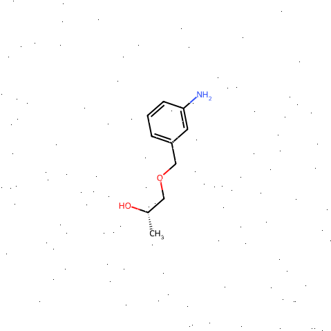 C[C@H](O)COCc1cccc(N)c1